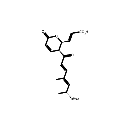 CCCCCC[C@H](C)/C=C(C)/C=C/C(=O)[C@H]1C=CC(=O)O[C@H]1/C=C/C(=O)O